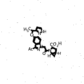 CC(=O)c1nn(CC(=O)N2[C@@H]3C[C@@H]3C[C@H]2C(=O)O)c2ccc(OC(C)c3cc[nH]n3)cc12